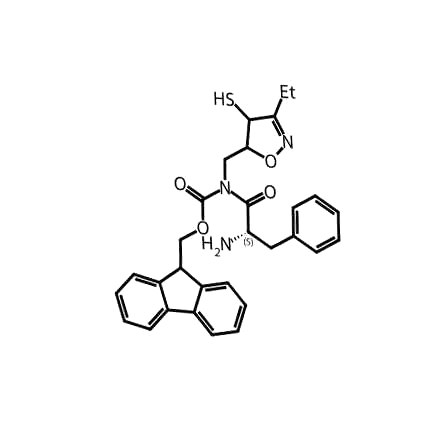 CCC1=NOC(CN(C(=O)OCC2c3ccccc3-c3ccccc32)C(=O)[C@@H](N)Cc2ccccc2)C1S